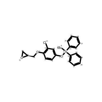 CC(C)(C)[Si](Oc1ccc(OC[C@@H]2CO2)c(Cl)c1)(c1ccccc1)c1ccccc1